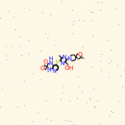 Cc1nc(N2CCC3(CC2)CO[C@@H](C)C3)c(CO)nc1Sc1ccnc2c1NC(=O)C1(COC1)N2C